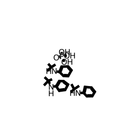 CC(C)(C)Nc1ccccc1.CC(C)(C)Nc1ccccc1.CC(C)(C)Nc1ccccc1.O=P(O)(O)O